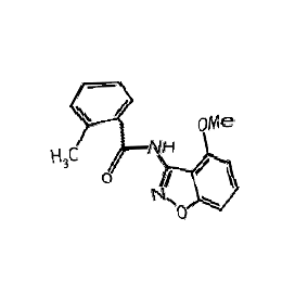 COc1cccc2onc(NC(=O)c3ccccc3C)c12